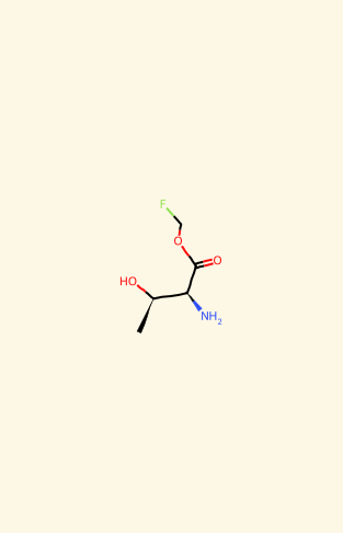 C[C@@H](O)[C@H](N)C(=O)OCF